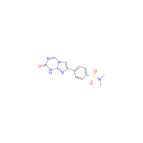 CN(C)S(=O)(=O)c1ccc(-c2cn3cnc(=O)[nH]c3n2)cc1